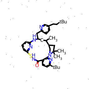 CC1CC(Cc2ccc(CCC(C)(C)C)cn2)Nc2cccc(n2)SNC(=O)c2ccc(C(C)(C)C)nc2N2CC1CC2(C)C